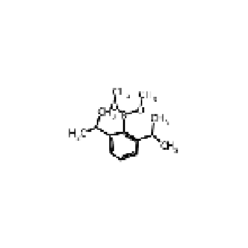 COB(OC)c1c(C(C)C)cccc1C(C)C